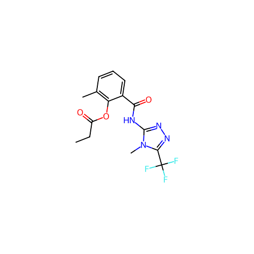 CCC(=O)Oc1c(C)cccc1C(=O)Nc1nnc(C(F)(F)F)n1C